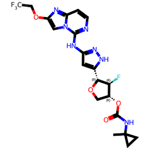 CC1(NC(=O)O[C@@H]2CO[C@H](c3cc(Nc4nccc5nc(OCC(F)(F)F)cn45)n[nH]3)[C@H]2F)CC1